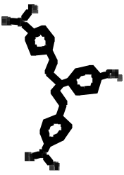 CCN(CC)c1ccc(C=CC(C=Cc2ccc(N(CC)CC)cc2)c2ccc(C)cc2)cc1